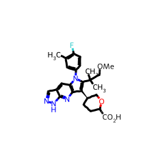 COCC(C)(C)c1c([C@@H]2CCC(C(=O)O)OC2)c2nc3[nH]ncc3cc2n1-c1ccc(F)c(C)c1